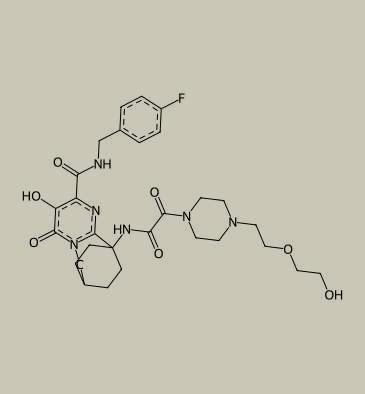 O=C(NC12CCC(CC1)Cn1c2nc(C(=O)NCc2ccc(F)cc2)c(O)c1=O)C(=O)N1CCN(CCOCCO)CC1